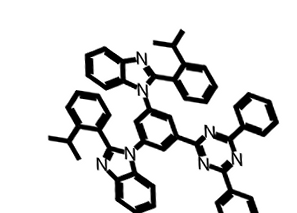 CC(C)c1ccccc1-c1nc2ccccc2n1-c1cc(-c2nc(-c3ccccc3)nc(-c3ccccc3)n2)cc(-n2c(-c3ccccc3C(C)C)nc3ccccc32)c1